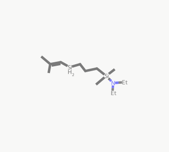 CCN(CC)[Si](C)(C)CCC[SiH2]C=C(C)C